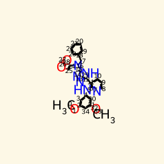 COc1cc(Nc2ncccc2-c2nnc(N(Cc3ccccc3)C3=COCO3)[nH]2)cc(OC)c1